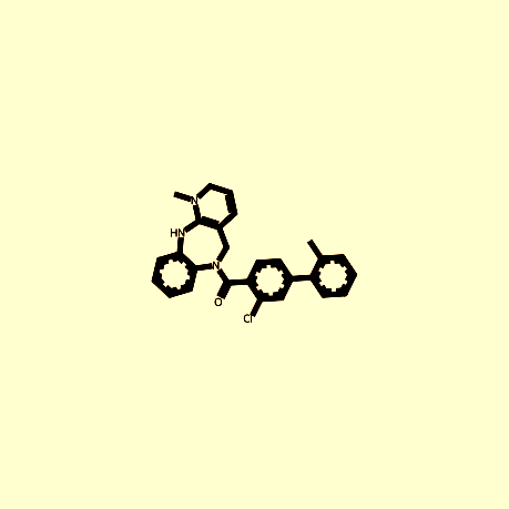 Cc1ccccc1-c1ccc(C(=O)N2CC3=C(Nc4ccccc42)N(C)CC=C3)c(Cl)c1